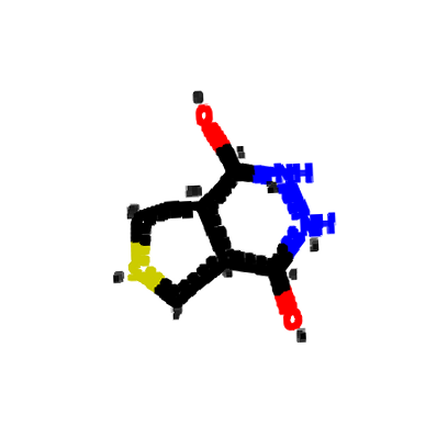 O=c1[nH][nH]c(=O)c2cscc12